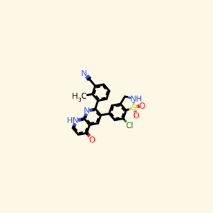 Cc1c(C#N)cccc1-c1nc2[nH]ccc(=O)c2cc1-c1cc(Cl)c2c(c1)CNS2(=O)=O